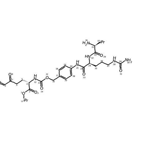 CC(C)OC(=O)[C@H](CCC(=O)C=[N+]=N)NC(=O)OCc1ccc(NC(=O)[C@H](CCCNC(N)=O)NC(=O)[C@@H](N)C(C)C)cc1